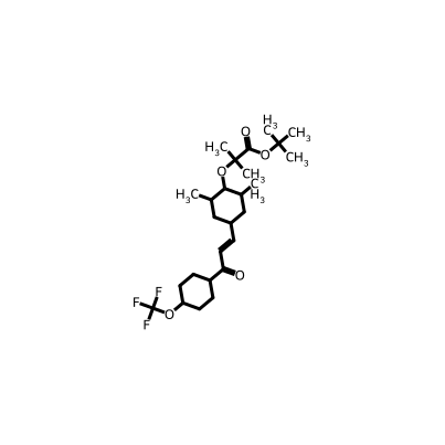 CC1CC(/C=C/C(=O)C2CCC(OC(F)(F)F)CC2)CC(C)C1OC(C)(C)C(=O)OC(C)(C)C